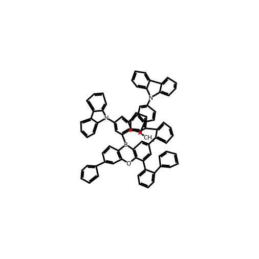 Cn1c2ccc(-n3c4ccccc4c4ccccc43)cc2c2cc(-n3c4ccccc4c4ccccc43)cc(B3c4ccc(-c5ccccc5)cc4Oc4c3cc(-c3ccccc3-c3ccccc3)cc4-c3ccccc3-c3ccccc3)c21